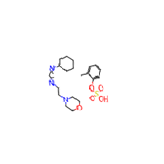 C(=NCCN1CCOCC1)=NC1CCCCC1.Cc1ccccc1OS(=O)(=O)O